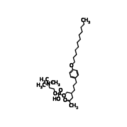 CCCCCCCCCCCCOc1ccc(CCCC(COP(=O)(O)OCC[N+](C)(C)C)CC(C)=O)cc1